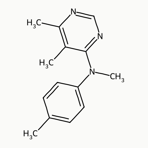 Cc1ccc(N(C)c2ncnc(C)c2C)cc1